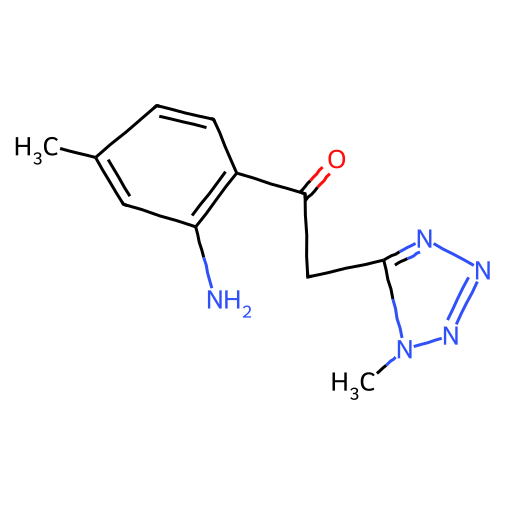 Cc1ccc(C(=O)Cc2nnnn2C)c(N)c1